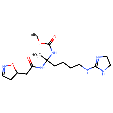 CCCCOC(=O)NC(CCCCNC1=NCCN1)(NC(=O)CC1CC=NO1)C(=O)O